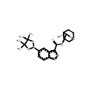 CC1(C)OB(c2ccc3snc(C(=O)N[C@@H]4CN5CCC4CC5)c3c2)OC1(C)C